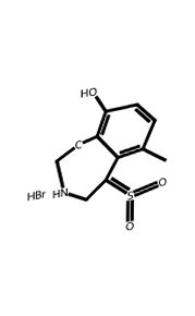 Br.Cc1ccc(O)c2c1C(=S(=O)=O)CNCC2